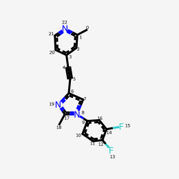 Cc1cc(C#Cc2cn(-c3ccc(F)c(F)c3)c(C)n2)ccn1